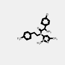 Cc1cc(N(CCc2ccc(C(F)(F)F)cc2)C(=O)C(N)c2ccc(Cl)cc2)n(C)n1